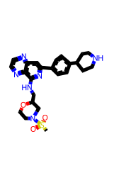 CS(=O)(=O)N1CCOC(CNc2nc(-c3ccc(C4CCNCC4)cc3)cc3nccnc23)C1